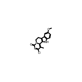 COc1ccc2[nH]c3c(c2c1)CCn1c-3c(C)c(Cl)nc1=O